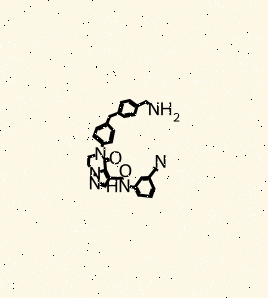 N#Cc1cccc(NC(=O)c2cnn3c2C(=O)N(c2ccc(Cc4ccc(CN)cc4)cc2)CC3)c1